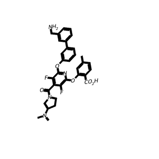 Cc1ccc(C(=O)O)c(Oc2nc(Oc3cccc(-c4cccc(CN)c4)c3)c(F)c(C(=O)N3CCC(N(C)C)C3)c2F)c1